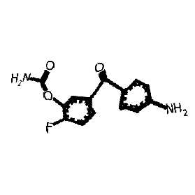 NC(=O)Oc1cc(C(=O)c2ccc(N)cc2)ccc1F